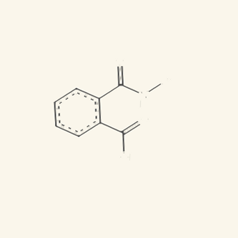 O=C(O)c1ccccc1C(=O)NBr